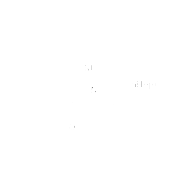 CCCCCCCCn1[nH]c2ccccc2c1=O